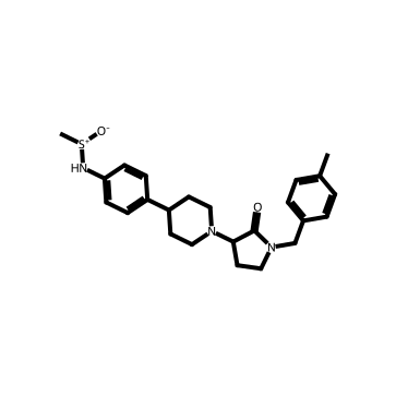 Cc1ccc(CN2CCC(N3CCC(c4ccc(N[S+](C)[O-])cc4)CC3)C2=O)cc1